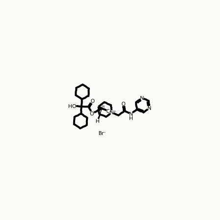 O=C(C[N+]12CCC(CC1)[C@@H](OC(=O)C(O)(C1CCCCC1)C1CCCCC1)C2)Nc1cncnc1.[Br-]